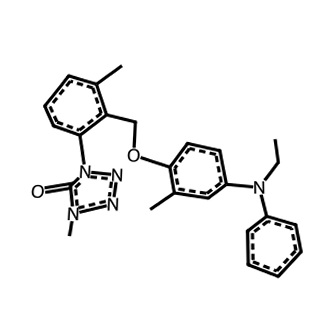 CCN(c1ccccc1)c1ccc(OCc2c(C)cccc2-n2nnn(C)c2=O)c(C)c1